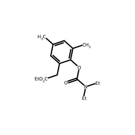 CCOC(=O)Cc1cc(C)cc(C)c1OC(=O)N(CC)CC